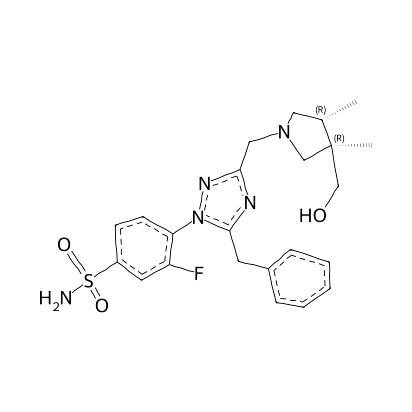 C[C@H]1CN(Cc2nc(Cc3ccccc3)n(-c3ccc(S(N)(=O)=O)cc3F)n2)C[C@]1(C)CO